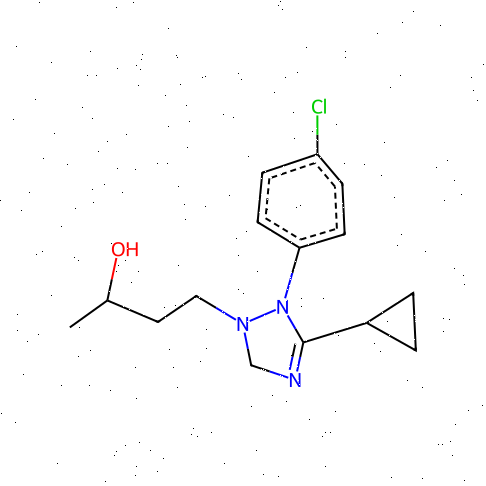 CC(O)CCN1CN=C(C2CC2)N1c1ccc(Cl)cc1